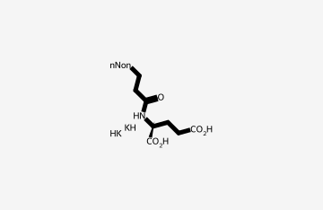 CCCCCCCCCCCC(=O)N[C@@H](CCC(=O)O)C(=O)O.[KH].[KH]